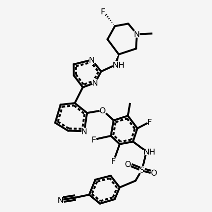 Cc1c(F)c(NS(=O)(=O)Cc2ccc(C#N)cc2)c(F)c(F)c1Oc1ncccc1-c1ccnc(N[C@H]2C[C@H](F)CN(C)C2)n1